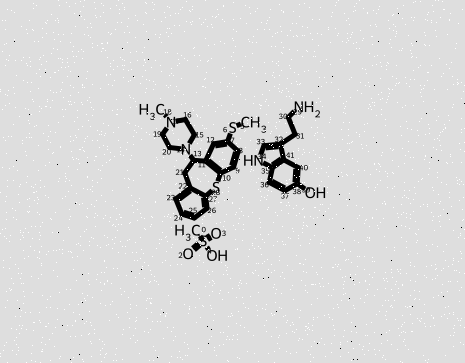 CS(=O)(=O)O.CSc1ccc2c(c1)C(N1CCN(C)CC1)Cc1ccccc1S2.NCCc1c[nH]c2ccc(O)cc12